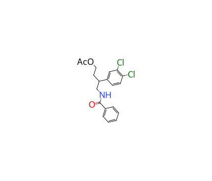 CC(=O)OCCC(CNC(=O)c1ccccc1)c1ccc(Cl)c(Cl)c1